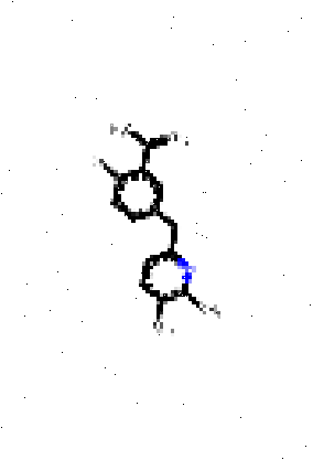 C=C(C)c1cc(Cc2ccc(C)c(C)n2)ccc1CC